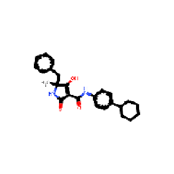 CC1(Cc2ccccc2)NC(=O)C(C(=O)Nc2ccc(C3CCCCC3)cc2)=C1O